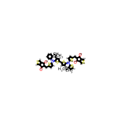 C[Si]1(C)c2ccccc2N(c2ccc(C=C3C(=O)c4cscc4C3=O)s2)c2sc(-c3cc4c(s3)N(c3ccc(C=C5C(=O)c6cscc6C5=O)s3)c3sccc3[Si]4(C)C)cc21